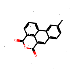 Cc1ccc2cc3c4c(cccc4c2c1)C(=O)OC3=O